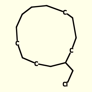 ClCC1CCCCCCCCCCCC1